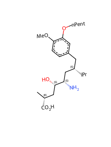 CCCCCOc1cc(C[C@@H](C[C@H](N)[C@@H](O)C[C@@H](C)C(=O)O)C(C)C)ccc1OC